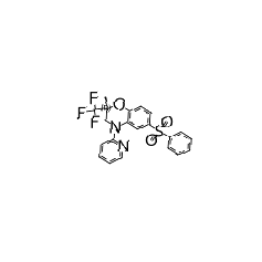 C[C@]1(C(F)(F)F)CN(c2ccccn2)c2cc(S(=O)(=O)c3ccccc3)ccc2O1